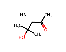 CC(=O)CC(C)(C)O.[AtH]